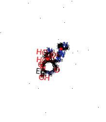 CC[C@H]1OC(=O)C[C@@H](O)[C@H](C)[C@@H](O[C@@H]2O[C@H](C)[C@@H](O)C(N(C)C)C2O)[C@@H](CCN(C)Cc2cn(-c3cccc4ncccc34)nn2)C[C@@H](C)C(=O)/C=C/C(C)=C/[C@@H]1CCO